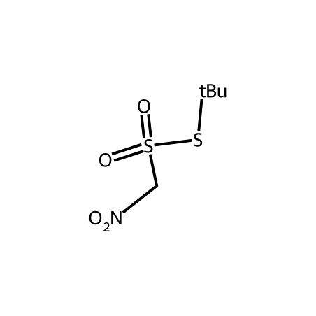 CC(C)(C)SS(=O)(=O)C[N+](=O)[O-]